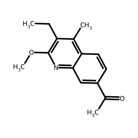 CCc1c(OC)nc2cc(C(C)=O)ccc2c1C